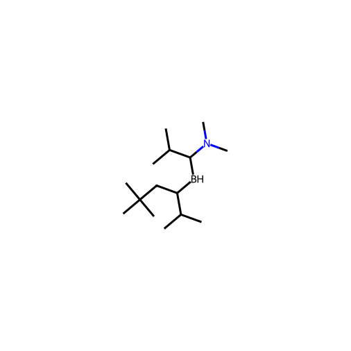 CC(C)C(BC(C(C)C)N(C)C)CC(C)(C)C